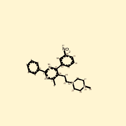 Cc1nc(-c2ccccc2)nc(-c2cccc([N+](=O)[O-])c2)c1CCN1CCN(C)CC1